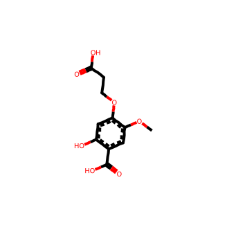 COc1cc(C(=O)O)c(O)cc1OCCC(=O)O